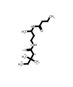 CCCC(=O)NC(C)CCNC(=O)CC(C)(C)CC